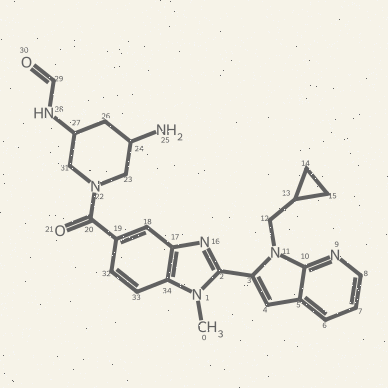 Cn1c(-c2cc3cccnc3n2CC2CC2)nc2cc(C(=O)N3CC(N)CC(NC=O)C3)ccc21